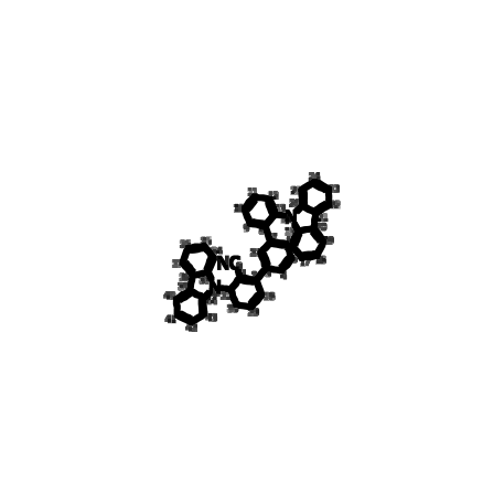 N#CC1=C(c2cccc(-c3ccccc3-n3c4ccccc4c4ccccc43)c2)C=CCC1n1c2ccccc2c2ccccc21